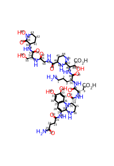 NCCC[C@H](NC(=O)[C@H](CC(=O)O)NC(=O)[C@@H]1CCNC2C(NC(=O)CCC(N)=O)=Cc3cc(O)c(O)cc3N21)C(=O)N[C@@H](C1=NCCC(C(=O)NCC(=O)N[C@@H](CO)C(=O)NC2CCCN(O)C2=O)N1)[C@@H](O)C(=O)O